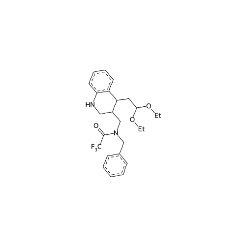 CCOC(CC1c2ccccc2NCC1CN(Cc1ccccc1)C(=O)C(F)(F)F)OCC